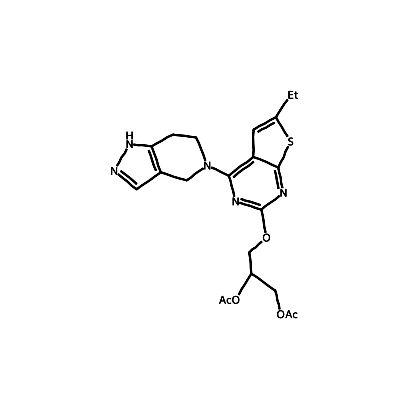 CCc1cc2c(N3CCc4[nH]ncc4C3)nc(OCC(COC(C)=O)OC(C)=O)nc2s1